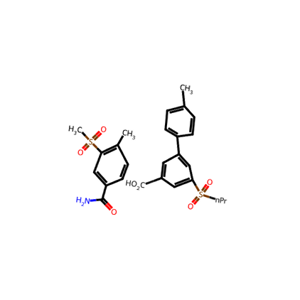 CCCS(=O)(=O)c1cc(C(=O)O)cc(-c2ccc(C)cc2)c1.Cc1ccc(C(N)=O)cc1S(C)(=O)=O